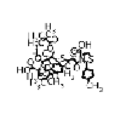 Cc1ccc(C2SC[C@@H](C(=O)O)N2C(=O)[C@H](C)CSSC(COC(=O)C(C)(C)C)[C@@](C)(COC(=O)C(C)(C)C)C(=O)N2C(c3ccc(C)cc3)SC[C@H]2C(=O)O)cc1